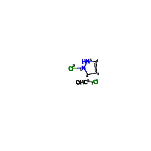 ClN1CC=CN1.O=CCl